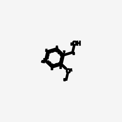 COc1cnccc1CO